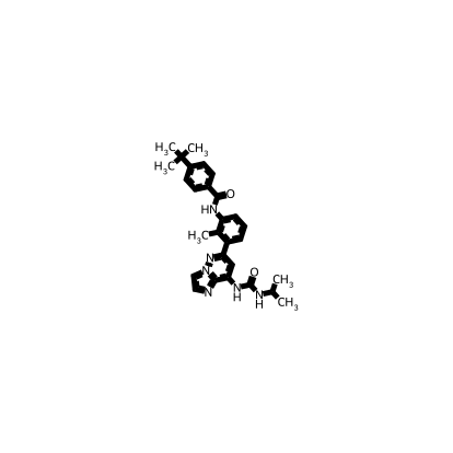 Cc1c(NC(=O)c2ccc(C(C)(C)C)cc2)cccc1-c1cc(NC(=O)NC(C)C)c2nccn2n1